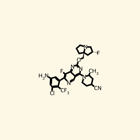 CC1CC(C#N)CCN1c1nc(OC[C@@]23CCCN2C[C@H](F)C3)nc2c(F)c(-c3cc(N)cc(Cl)c3C(F)(F)F)ncc12